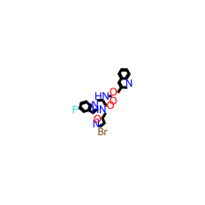 O=C(NC(Cn1ccc2cc(F)ccc21)C(=O)NCC1CC(Br)=NO1)OCc1cnc2ccccc2c1